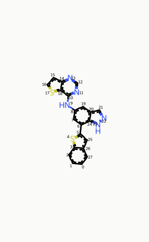 c1ccc2sc(-c3cc(Nc4ncnc5ccsc45)cc4cn[nH]c34)cc2c1